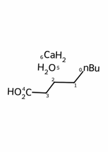 CCCCCCCC(=O)O.O.[CaH2]